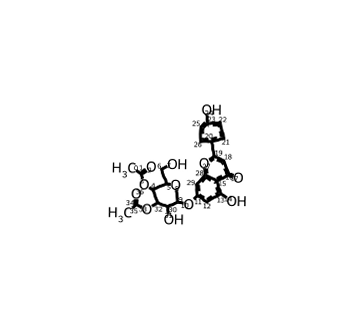 CC(=O)OC1C(CO)OC(Oc2cc(O)c3c(=O)cc(-c4ccc(O)cc4)oc3c2)C(O)C1OC(C)=O